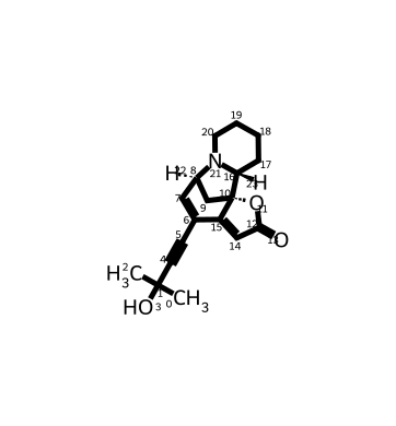 CC(C)(O)C#CC1=C[C@@H]2C[C@@]3(OC(=O)C=C13)[C@H]1CCCCN21